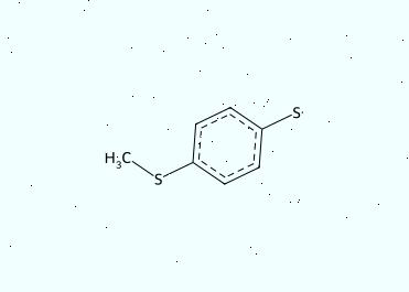 CSc1ccc([S])cc1